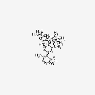 C[C@H]1CN(c2c(N)cnc3c2CCO3)C[C@@H](NC(=O)OC(C)(C)C)C1O[Si](C)(C)C(C)(C)C